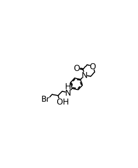 O=C1COCCN1c1ccc(NCC(O)CBr)cc1